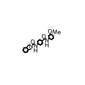 COc1cccc(NC(=O)c2ccc(NC(=O)N3Cc4ccccc4C3)cc2)c1